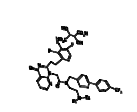 CCN(CC)CCN(Cc1ccc(-c2ccc(C(F)(F)F)cc2)cc1)C(=O)Cn1c(CCc2ccc(F)c(F)c2F)nc(=O)c2cccnc21.O=C(O)C(O)C(O)C(=O)O